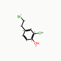 Oc1ccc(CCBr)cc1Cl